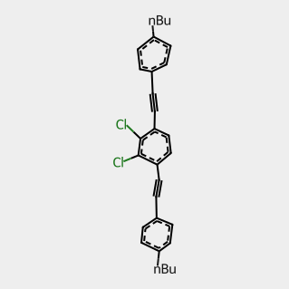 CCCCc1ccc(C#Cc2ccc(C#Cc3ccc(CCCC)cc3)c(Cl)c2Cl)cc1